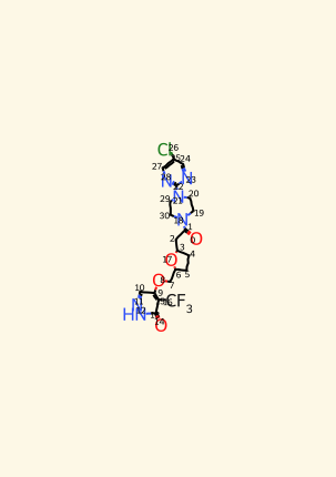 O=C(CC1CCC(COc2cn[nH]c(=O)c2C(F)(F)F)O1)N1CCN(c2ncc(Cl)cn2)CC1